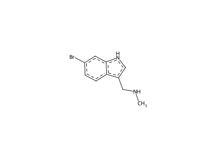 CNCc1c[nH]c2cc(Br)ccc12